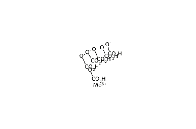 O=C([O-])O.O=C([O-])O.O=C([O-])O.O=C([O-])O.O=C([O-])O.O=C([O-])O.[Mo+6]